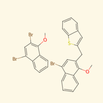 COc1c(Br)cc(Br)c2ccccc12.COc1c(Cc2cc3ccccc3s2)cc(Br)c2ccccc12